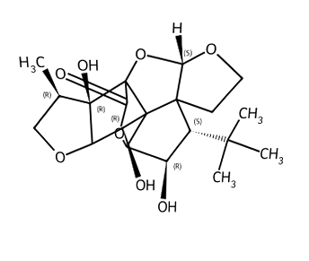 C[C@@H]1COC2[C@H](O)C34C5OC(=O)C3(O[C@@H]3OCCC34[C@H](C(C)(C)C)[C@H]5O)[C@]21O